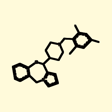 Cc1cc(C)c(CN2CCC(C3Oc4ccccc4Cn4cccc43)CC2)c(C)c1